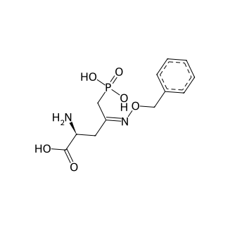 N[C@@H](CC(CP(=O)(O)O)=NOCc1ccccc1)C(=O)O